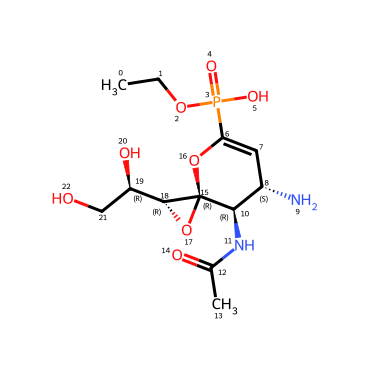 CCOP(=O)(O)C1=C[C@H](N)[C@@H](NC(C)=O)[C@]2(O1)O[C@@H]2[C@H](O)CO